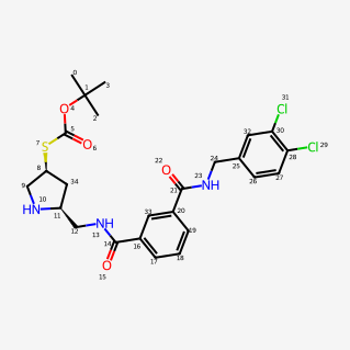 CC(C)(C)OC(=O)S[C@@H]1CN[C@H](CNC(=O)c2cccc(C(=O)NCc3ccc(Cl)c(Cl)c3)c2)C1